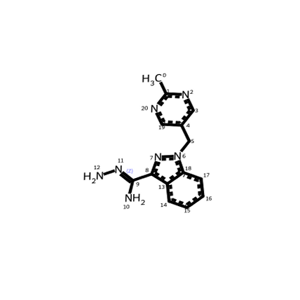 Cc1ncc(Cn2nc(/C(N)=N/N)c3ccccc32)cn1